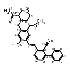 COCc1cc(/C=C/c2cccc(-c3ccccc3)c2C#N)c(C)cc1CN1CCOC[C@H]1C(C)=O